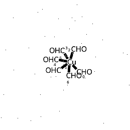 O=[CH][Cu]([CH]=O)([CH]=O)([CH]=O)([CH]=O)[CH]=O